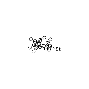 CCC=CCCOc1c(OCc2ccccc2)c2ccc(O[C@@H]3O[C@H](COCc4ccccc4)[C@H](OCc4ccccc4)[C@H](OCc4ccccc4)[C@H]3OCc3ccccc3)cc2oc1=O